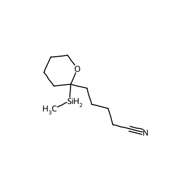 C[SiH2]C1(CCCCC#N)CCCCO1